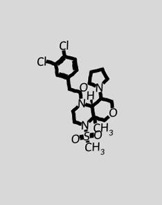 CC12COCC(N3CCCC3)[C@H]1N(C(=O)Cc1ccc(Cl)c(Cl)c1)CCN2S(C)(=O)=O